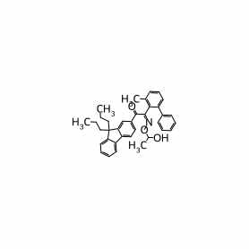 CCCC1(CCC)c2ccccc2-c2ccc(C(=O)/C(=N\OC(C)O)c3c(C)cccc3-c3ccccc3)cc21